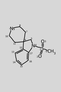 CS(=O)(=O)N1CC2(CC[N]CC2)c2ccccc21